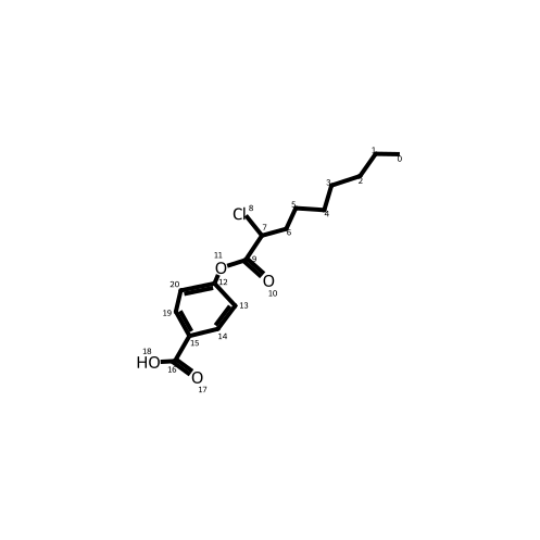 CCCCCCCC(Cl)C(=O)Oc1ccc(C(=O)O)cc1